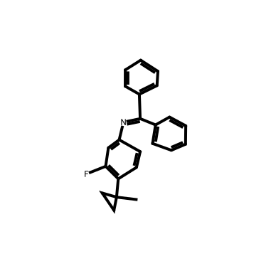 CC1(c2ccc(N=C(c3ccccc3)c3ccccc3)cc2F)CC1